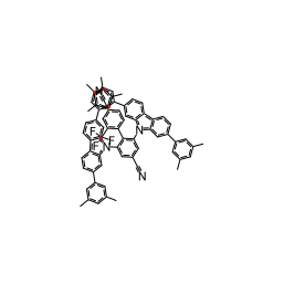 Cc1cc(C)cc(-c2ccc3c4ccc(-c5cc(C)cc(C)c5)cc4n(-c4cc(C#N)cc(-n5c6cc(-c7cc(C)cc(C)c7)ccc6c6ccc(-c7cc(C)cc(C)c7)cc65)c4-c4ccc(C#N)cc4C(F)(F)F)c3c2)c1